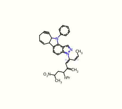 C=C(/C=C(\C=C/C)n1ncc2c3c(ccc21)C1C=CCC#CC1N3c1ccccc1)C(CCC)CC(C)[N+](=O)[O-]